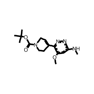 CNc1cc(OC)c(C2=CCN(C(=O)OC(C)(C)C)CC2)nn1